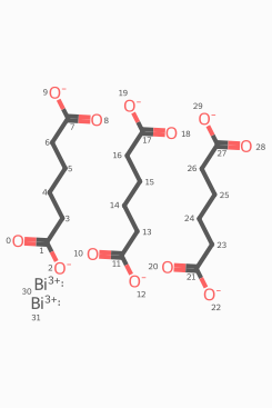 O=C([O-])CCCCC(=O)[O-].O=C([O-])CCCCC(=O)[O-].O=C([O-])CCCCC(=O)[O-].[Bi+3].[Bi+3]